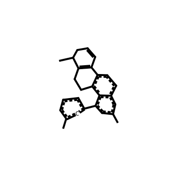 Cc1cccc(-c2cc(C)cc3ccc4c(c23)CCC2=C4C=CCC2C)c1